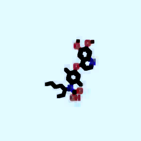 CCCCC(CC)N(C(=O)O)c1cc(C)c(Oc2ccnc3cc(OC)c(OC)cc23)cc1C